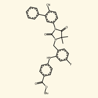 CC(C)(C)OC(=O)c1ccc(Nc2cc(F)ccc2CN2C(=O)N(c3ccc(C#N)c(-c4ccccc4)c3)C(=O)C2(C)C)cc1